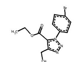 CCOC(=O)c1c(CC)nnn1-c1ccc(Br)cc1